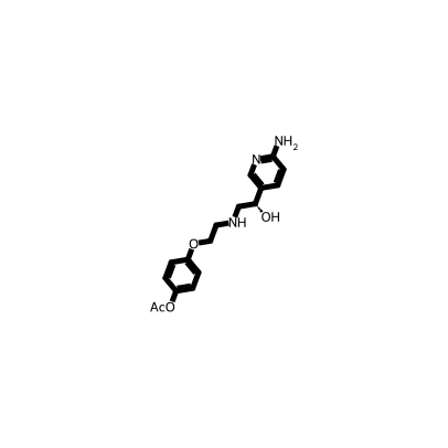 CC(=O)Oc1ccc(OCCNC[C@@H](O)c2ccc(N)nc2)cc1